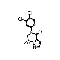 C[C@H]1CN(c2ccc(Cl)c(Cl)c2)C(=O)c2ccnn21